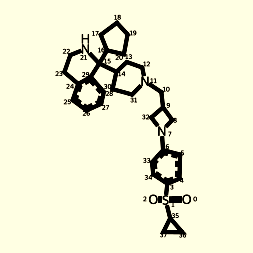 O=S(=O)(c1ccc(N2CC(CN3CCC(C4(C5CCCC5)NCCc5ccccc54)CC3)C2)cc1)C1CC1